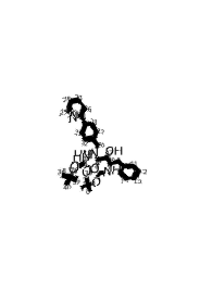 CC(C)(C)OC(=O)NC(Cc1ccccc1)C(O)CN(Cc1ccc(-c2ccccn2)cc1)NC(=O)OC(C)(C)C